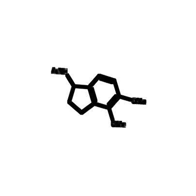 COc1ccc2c(c1OC)CCC2NC(C)=O